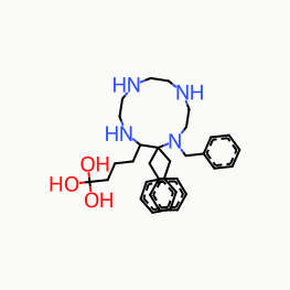 OC(O)(O)CCCC1NCCNCCNCCN(Cc2ccccc2)C1(Cc1ccccc1)Cc1ccccc1